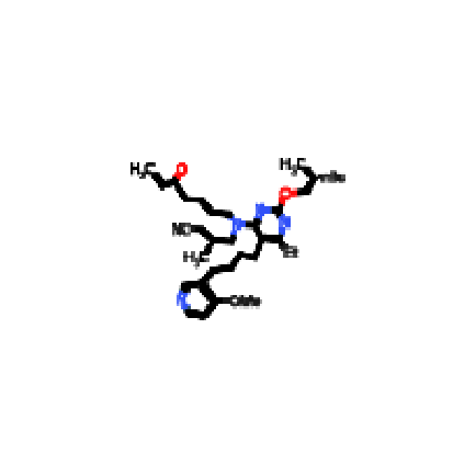 C=CC(=O)CCCCN(C[C@@H](C)CC#N)c1nc(OC[C@@H](C)CCCC)nc(CC)c1CCCCc1cnccc1OC